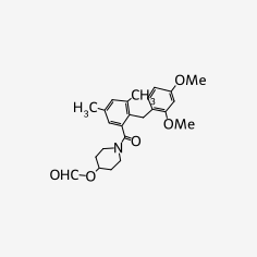 COc1ccc(Cc2c(C)cc(C)cc2C(=O)N2CCC(OC=O)CC2)c(OC)c1